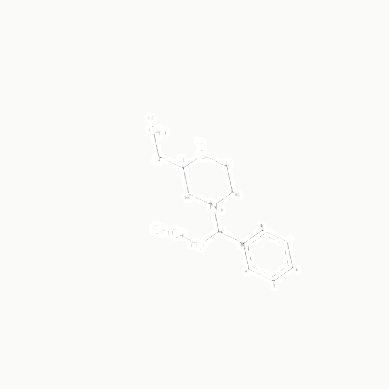 O=COC(c1ccccc1)N1CCOC(CO)C1